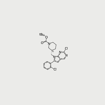 CC(C)(C)OC(=O)N1CCC[C@H](Cn2c(-c3ccccc3Cl)cc3cnc(Cl)nc32)C1